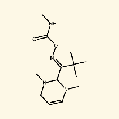 CNC(=O)ON=C(C1N(C)C=CCN1C)C(C)(C)C